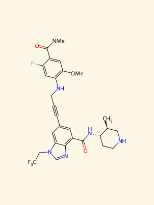 CNC(=O)c1cc(OC)c(NCC#Cc2cc(C(=O)N[C@H]3CCNC[C@@H]3C)c3ncn(CC(F)(F)F)c3c2)cc1F